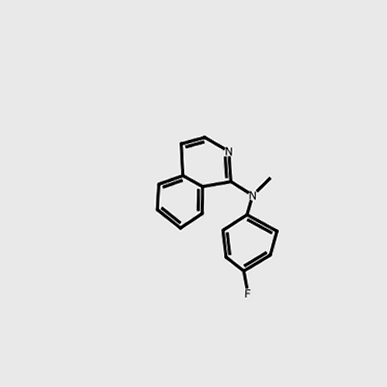 CN(c1ccc(F)cc1)c1nccc2ccccc12